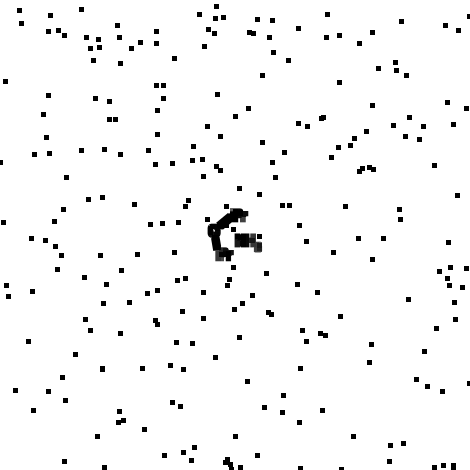 CC(C)OC(C)C.N